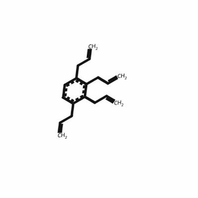 C=CCc1[c]cc(CC=C)c(CC=C)c1CC=C